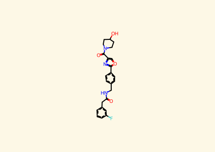 O=C(Cc1cccc(F)c1)NCc1ccc(-c2nc(C(=O)N3CCC(O)CC3)co2)cc1